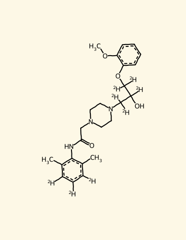 [2H]c1c([2H])c(C)c(NC(=O)CN2CCN(C([2H])([2H])C([2H])(O)C([2H])([2H])Oc3ccccc3OC)CC2)c(C)c1[2H]